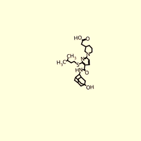 CC(C)CCSc1nc(N2CCCC(CC(=O)O)C2)ccc1C(=O)NC1C2CC3CC1CC(O)(C3)C2